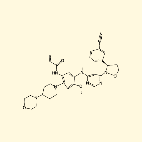 C=CC(=O)Nc1cc(Nc2cc(N3OCC[C@@H]3c3cccc(C#N)c3)ncn2)c(OC)cc1N1CCC(N2CCOCC2)CC1